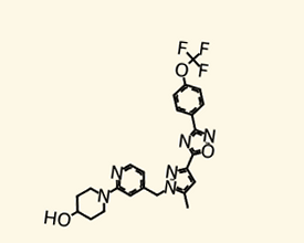 Cc1cc(-c2nc(-c3ccc(OC(F)(F)F)cc3)no2)nn1Cc1ccnc(N2CCC(O)CC2)c1